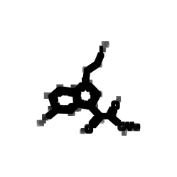 COC(=O)C(=O)c1cn(CCF)c2ccc(F)cc12